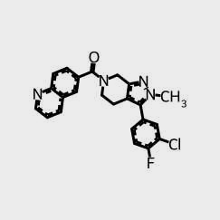 Cn1nc2c(c1-c1ccc(F)c(Cl)c1)CCN(C(=O)c1ccc3ncccc3c1)C2